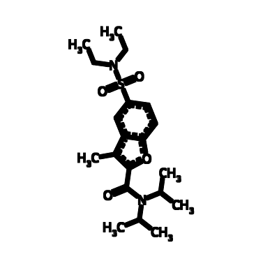 CCN(CC)S(=O)(=O)c1ccc2oc(C(=O)N(C(C)C)C(C)C)c(C)c2c1